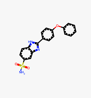 NS(=O)(=O)c1ccc2[nH]c(-c3ccc(Oc4ccccc4)cc3)nc2c1